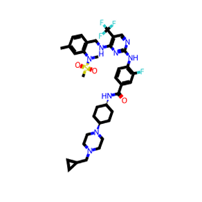 Cc1ccc(CNc2nc(Nc3ccc(C(=O)N[C@H]4CC[C@H](N5CCN(CC6CC6)CC5)CC4)cc3F)ncc2C(F)(F)F)c(N(C)S(C)(=O)=O)c1